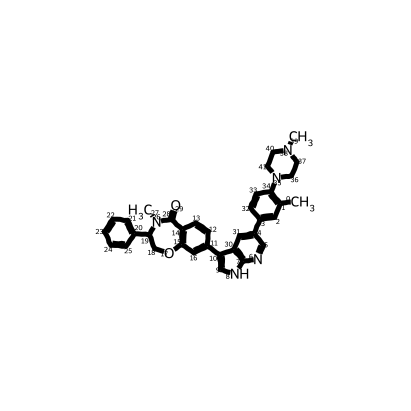 Cc1cc(-c2cnc3[nH]cc(-c4ccc5c(c4)OCC(c4ccccc4)N(C)C5=O)c3c2)ccc1N1CCN(C)CC1